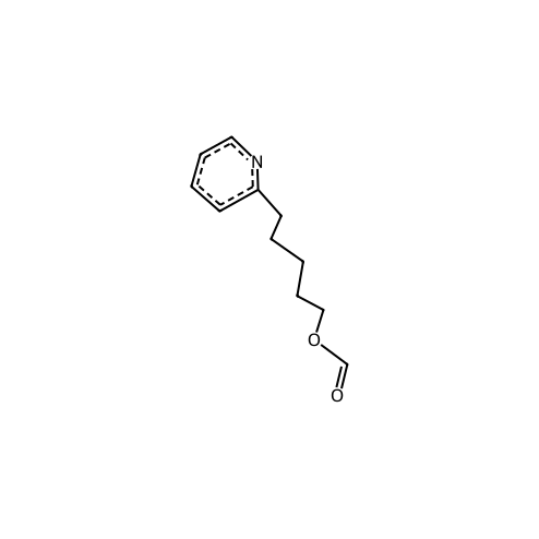 O=COCCCCCc1ccccn1